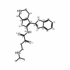 CC(C)NCCC(=O)C(=O)Nc1sc2c(c1-c1nc3ccccc3s1)CCNC2